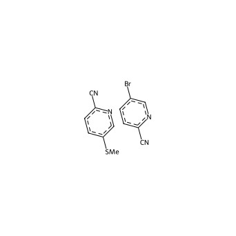 CSc1ccc(C#N)nc1.N#Cc1ccc(Br)cn1